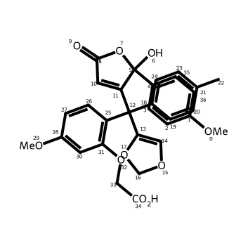 COc1ccc(C2(O)OC(=O)C=C2C(C2=COCO2)(c2ccc(C)cc2)c2ccc(OC)cc2OCC(=O)O)cc1